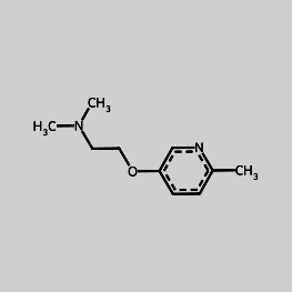 Cc1ccc(OCCN(C)C)cn1